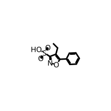 CCc1c(S(=O)(=O)O)noc1-c1ccccc1